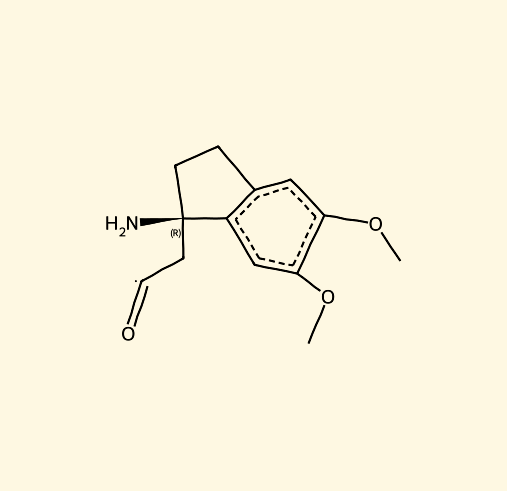 COc1cc2c(cc1OC)[C@](N)(C[C]=O)CC2